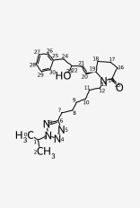 CC(C)n1nnc(CCCCCCN2C(=O)CCC[C@@H]2/C=C/C(O)Cc2ccccc2)n1